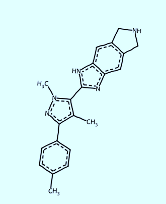 Cc1ccc(-c2nn(C)c(-c3nc4cc5c(cc4[nH]3)CNC5)c2C)cc1